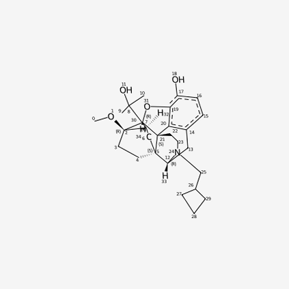 CO[C@]12CC[C@@]3(C[C@@H]1C(C)(C)O)[C@H]1Cc4ccc(O)c5c4[C@@]3(CCN1CC1CCC1)[C@H]2O5